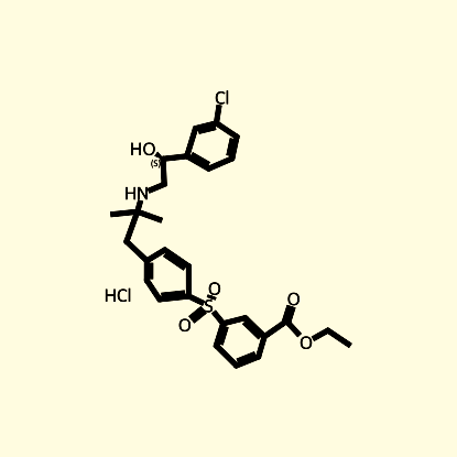 CCOC(=O)c1cccc(S(=O)(=O)c2ccc(CC(C)(C)NC[C@@H](O)c3cccc(Cl)c3)cc2)c1.Cl